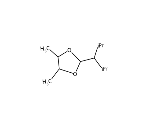 CC(C)C(C(C)C)C1OC(C)C(C)O1